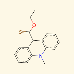 CCOC(=S)C1c2ccccc2N(C)c2ccccc21